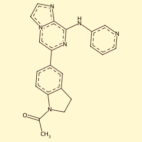 CC(=O)N1CCc2cc(-c3cn4ccnc4c(Nc4cccnc4)n3)ccc21